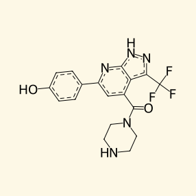 O=C(c1cc(-c2ccc(O)cc2)nc2[nH]nc(C(F)(F)F)c12)N1CCNCC1